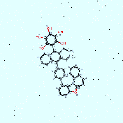 C=Cc1c(C=C)c(-c2c(O)c(O)c(O)c(O)c2O)c2ccccc2c1-c1ccc(-c2cccc3oc4ccc5ccccc5c4c23)cc1